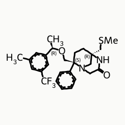 CSC[C@]12CC[C@@](CO[C@H](C)c3cc(C)cc(C(F)(F)F)c3)(c3ccccc3)N(CC(=O)N1)C2